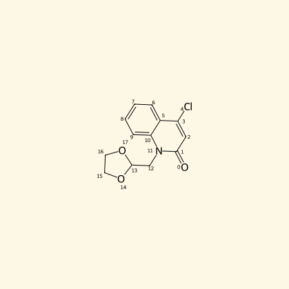 O=c1cc(Cl)c2ccccc2n1CC1OCCO1